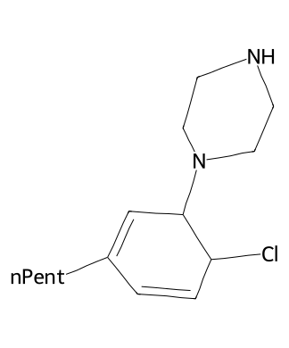 C[CH]CCCC1=CC(N2CCNCC2)C(Cl)C=C1